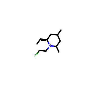 C/C=C1/CC(C)CC(C)N1CCF